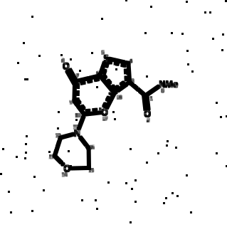 CNC(=O)c1csc2c(=O)cc(N3CCOCC3)oc12